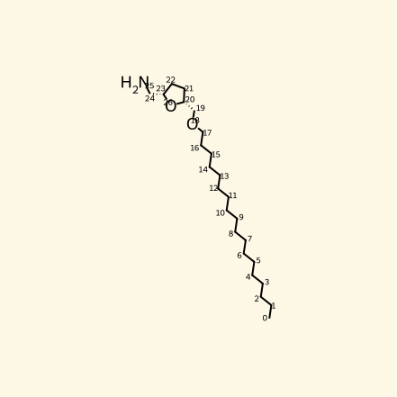 CCCCCCCCCCCCCCCCCCOC[C@H]1CC[C@@H](CN)O1